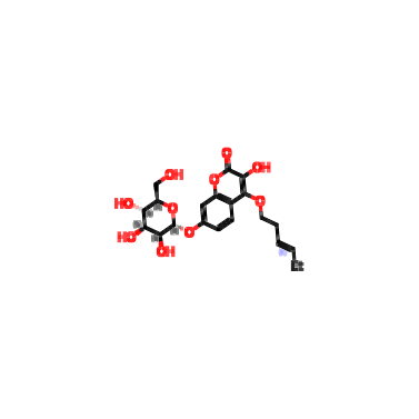 CC/C=C/CCOc1c(O)c(=O)oc2cc(O[C@H]3O[C@H](CO)[C@@H](O)[C@H](O)[C@@H]3O)ccc12